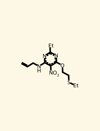 C=CCNc1nc(CC)nc(OCCSCC)c1[N+](=O)[O-]